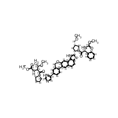 COC[C@H]1C[C@@H](c2nc3ccc4cc5c(cc4c3[nH]2)OCc2cc(-c3cnc([C@@H]4CCCN4C(=O)C(NC(=O)OC)[C@@H](C)OC)[nH]3)ccc2-5)N(C(=O)[C@H](NC(=O)OC)c2ccccc2)C1